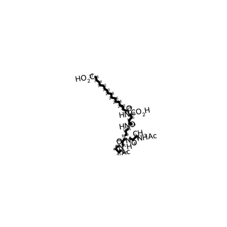 CC(=O)N[C@@H](C)C(=O)CN[C@@H](CCCCNC(=O)CC[C@H](NC(=O)CCCCCCCCCCCCCCCCC(=O)O)C(=O)O)C(=O)CN1CCC[C@H]1C(C)=O